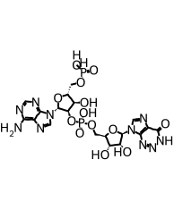 Nc1ncnc2c1ncn2[C@@H]1O[C@H](CO[PH](=O)O)[C@@H](O)[C@H]1OP(=O)(O)OC[C@H]1O[C@@H](n2cnc3c(=O)[nH]nnc32)[C@H](O)[C@@H]1O